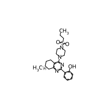 CCCS(=O)(=O)N1CCN(c2nc(-c3ccccc3O)nc3c2CC[C@@H](C)C3)CC1